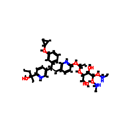 CCC(C)(O)c1ccc([C@@H](Cc2ccc(O[C@@H](C)OC(CO)C(O)C(ONC)ONC)nc2)c2cccc(OC3CC3)c2)cn1